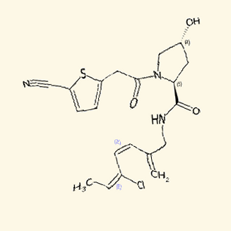 C=C(/C=C\C(Cl)=C/C)CNC(=O)[C@@H]1C[C@@H](O)CN1C(=O)Cc1ccc(C#N)s1